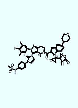 Cc1cc(-n2nc3c(c2-n2ccn(-c4ccc(NS(C)(=O)=O)cc4)c2=O)[C@H](C)N(C(=O)c2cc4cc(C5CCOCC5)ccc4n2[C@@]2(c4noc(=O)[nH]4)C[C@@H]2C)CC3)cc(C)c1F